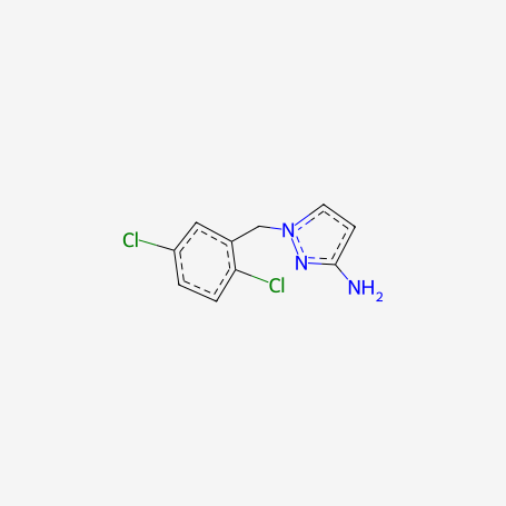 Nc1ccn(Cc2cc(Cl)ccc2Cl)n1